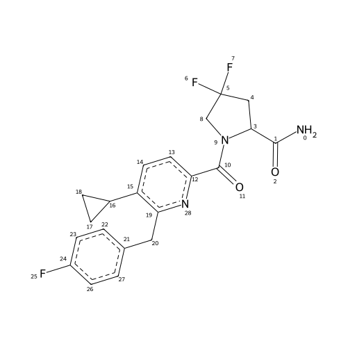 NC(=O)C1CC(F)(F)CN1C(=O)c1ccc(C2CC2)c(Cc2ccc(F)cc2)n1